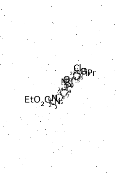 CCOC(=O)c1ccn(Cc2ccc(-c3noc(-c4ccc(OC(C)C)c(Cl)c4)n3)cc2)n1